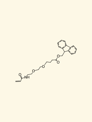 C=CC(=O)NCCOCCOCCCC(=O)OCC1c2ccccc2-c2ccccc21